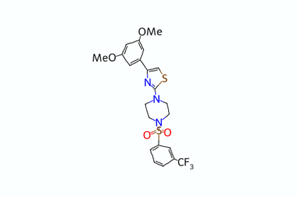 COc1cc(OC)cc(-c2csc(N3CCN(S(=O)(=O)c4cccc(C(F)(F)F)c4)CC3)n2)c1